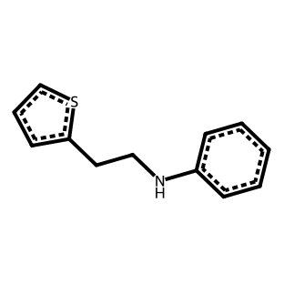 c1ccc(NCCc2cccs2)cc1